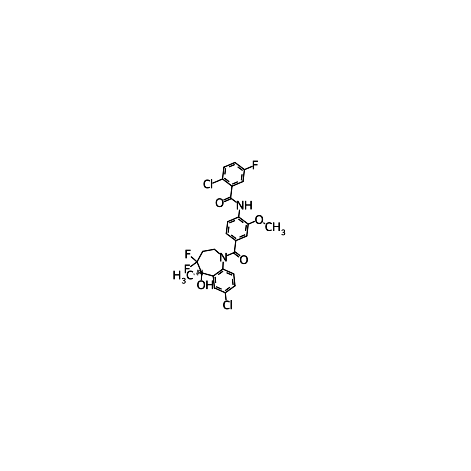 COc1cc(C(=O)N2CCC(F)(F)[C@](C)(O)c3cc(Cl)ccc32)ccc1NC(=O)c1cc(F)ccc1Cl